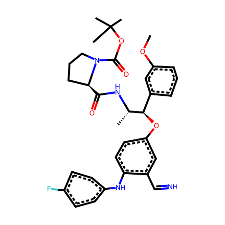 COc1cccc([C@@H](Oc2ccc(Nc3ccc(F)cc3)c(C=N)c2)[C@H](C)NC(=O)[C@H]2CCCN2C(=O)OC(C)(C)C)c1